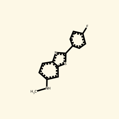 CNc1ccc2nc(-c3ccc(F)cc3)sc2c1